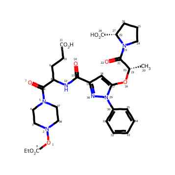 CCOC(=O)ON1CCN(C(=O)C(CCC(=O)O)NC(=O)c2cc(O[C@@H](C)C(=O)N3CCC[C@H]3C(=O)O)n(-c3ccccc3)n2)CC1